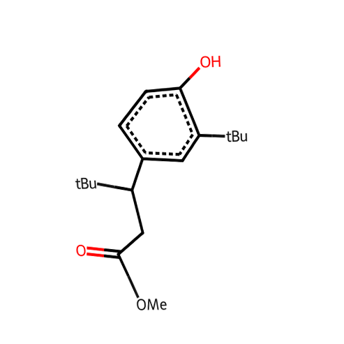 COC(=O)CC(c1ccc(O)c(C(C)(C)C)c1)C(C)(C)C